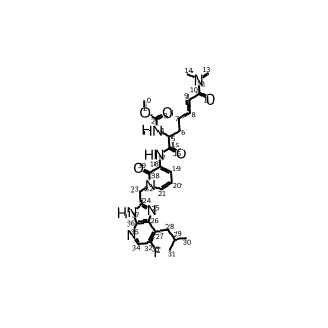 COC(=O)NC(CCC=CC(=O)N(C)C)C(=O)Nc1cccn(Cc2nc3c(CC(C)C)c(F)cnc3[nH]2)c1=O